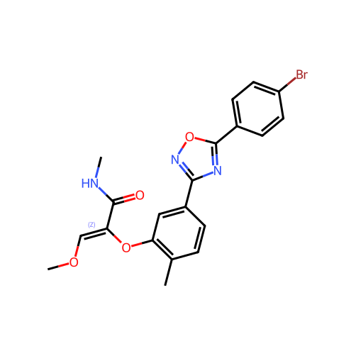 CNC(=O)/C(=C/OC)Oc1cc(-c2noc(-c3ccc(Br)cc3)n2)ccc1C